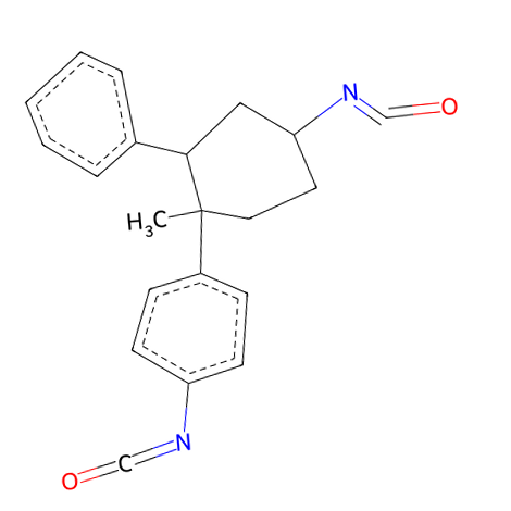 CC1(c2ccc(N=C=O)cc2)CCC(N=C=O)CC1c1ccccc1